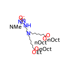 CCCCCCCCC(CC)OC(=O)CCCCCCCN(CCCCCCCC(=O)OC(CCCCCCCC)CCCCCCCC)CCCNc1n[s+]([O-])nc1NC